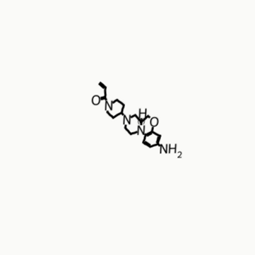 C=CC(=O)N1CCC(N2CCN3c4ccc(N)cc4OC[C@H]3C2)CC1